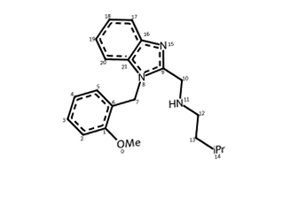 COc1ccccc1Cn1c(CNCCC(C)C)nc2ccccc21